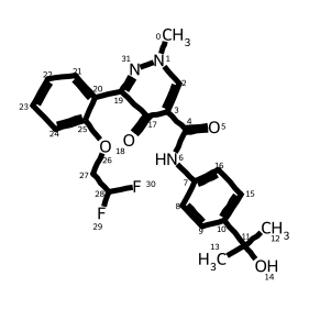 Cn1cc(C(=O)Nc2ccc(C(C)(C)O)cc2)c(=O)c(-c2ccccc2OCC(F)F)n1